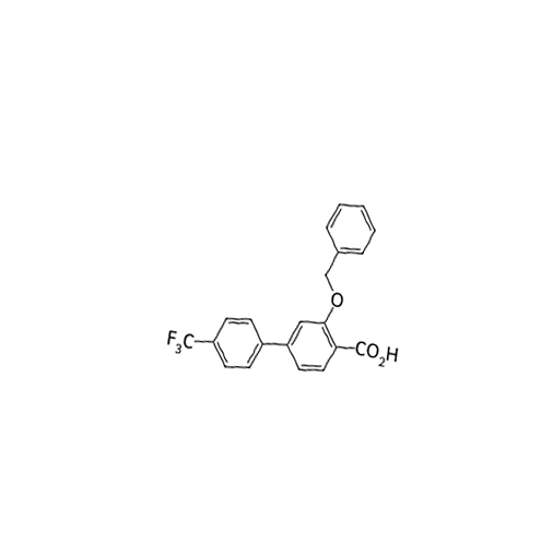 O=C(O)c1ccc(-c2ccc(C(F)(F)F)cc2)cc1OCc1ccccc1